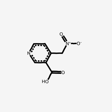 O=C(O)c1cnccc1C[N+](=O)[O-]